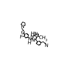 Cc1c[nH]c2nc(Nc3ccc(OCCN4CCCC4)c(F)c3)nc(-c3cccc(CC#N)c3)c12